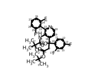 CC(C)(C)OC(=O)CC(O)(c1ccc(F)cc1F)c1ccnc(-c2c(F)cccc2F)c1NC(=O)C(C)(C)C